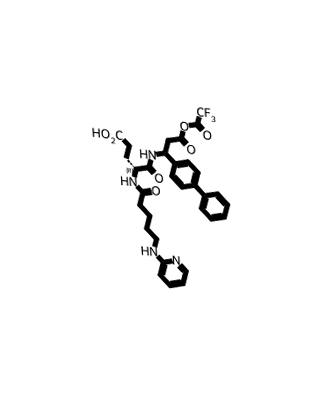 O=C(O)CC[C@@H](NC(=O)CCCCNc1ccccn1)C(=O)NC(CC(=O)OC(=O)C(F)(F)F)c1ccc(-c2ccccc2)cc1